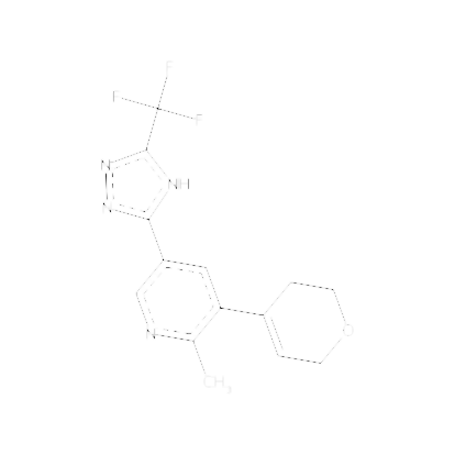 Cc1ncc(-c2nnc(C(F)(F)F)[nH]2)cc1C1=CCOCC1